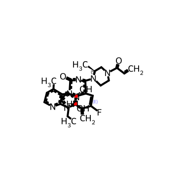 C=CC(=O)N1CCN(c2nc(=O)n(-c3c(C)ccnc3CCC)c(NO)c2/C=C(/F)C(=C)c2nccn2O)[C@@H](C)C1